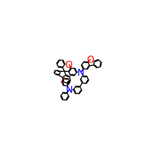 c1ccc(N(c2ccccc2)c2cccc(-c3cccc(N(c4ccc5c(c4)Oc4ccccc4C54c5ccccc5-c5ccccc54)c4ccc5oc6ccccc6c5c4)c3)c2)cc1